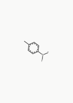 Cc1ccc(B(F)F)cc1